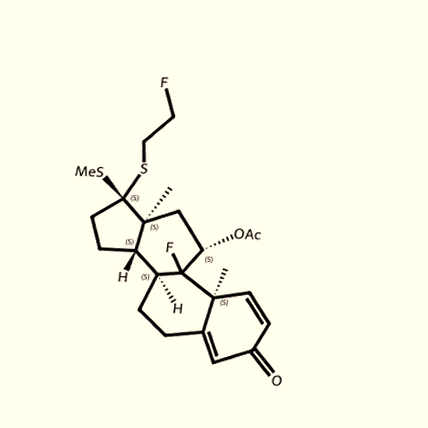 CS[C@]1(SCCF)CC[C@H]2[C@@H]3CCC4=CC(=O)C=C[C@]4(C)C3(F)[C@@H](OC(C)=O)C[C@@]21C